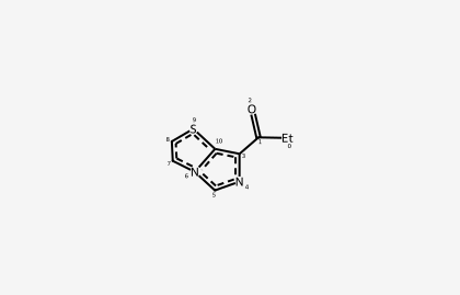 CCC(=O)c1ncn2ccsc12